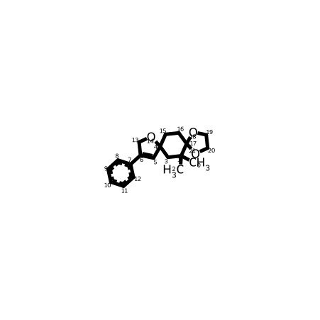 CC1(C)CC2(C=C(c3ccccc3)CO2)CCC12OCCO2